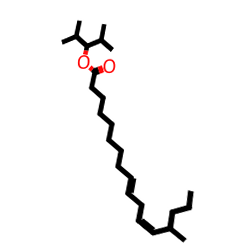 CCCC(C)/C=C\C/C=C/CCCCCCCC(=O)OC(C(C)C)C(C)C